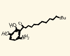 CC(C)(C)CCCCCCCCCCC(=O)c1c(N)ccc(O)c1O